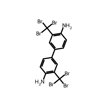 Nc1ccc(-c2ccc(N)c(C(Br)(Br)Br)c2)cc1C(Br)(Br)Br